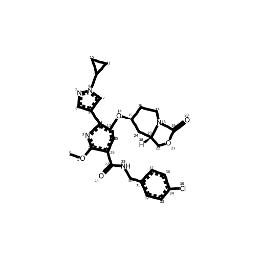 COc1nc(-c2cnn(C3CC3)c2)c(O[C@H]2CCN3C(=O)OC[C@@H]3C2)cc1C(=O)NCc1ccc(Cl)cc1